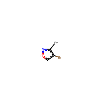 CCc1nocc1Br